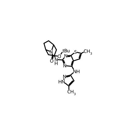 Cc1cc(Nc2nc(NC3CC4CCC(C3)N4C(=O)OC(C)(C)C)nc3sc(C)cc23)n[nH]1